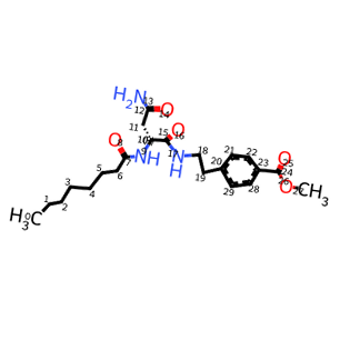 CCCCCCCC(=O)N[C@H](CC(N)=O)C(=O)NCCc1ccc(C(=O)OC)cc1